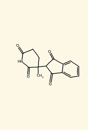 CC1(C2C(=O)c3ccccc3C2=O)CCC(=O)NC1=O